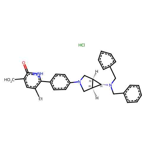 CCc1cc(C(=O)O)c(=O)[nH]c1-c1ccc(N2C[C@@H]3[C@H](C2)[C@H]3N(Cc2ccccc2)Cc2ccccc2)cc1.Cl